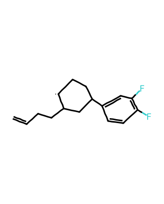 C=CCCC1[CH]CCC(c2ccc(F)c(F)c2)C1